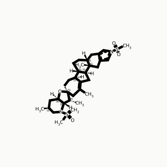 C=S(C)(=O)N1C[C@@H](C)C[C@H]2O[C@]3(CC[C@@H]4C(=C(C)C3)C[C@H]3[C@H]4CC[C@@H]4Cc5cn(S(C)(=O)=O)cc5C[C@@]43C)[C@H](C)[C@@H]21